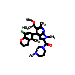 CC(=O)N1CCCN(C(=O)c2cc3c(-c4cc(F)c5c(c4C)CCCO5)c([C@H](OC(C)(C)C)C(=O)O)c(C)nc3n2C)CC1